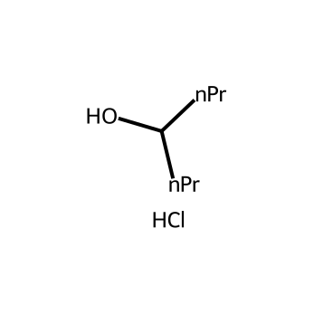 CCCC(O)CCC.Cl